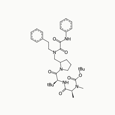 C[C@@H](C(=O)N[C@H](C(=O)N1CCCC1CN(CCc1ccccc1)C(=O)C(=O)Nc1ccccc1)C(C)(C)C)N(C)C(=O)OC(C)(C)C